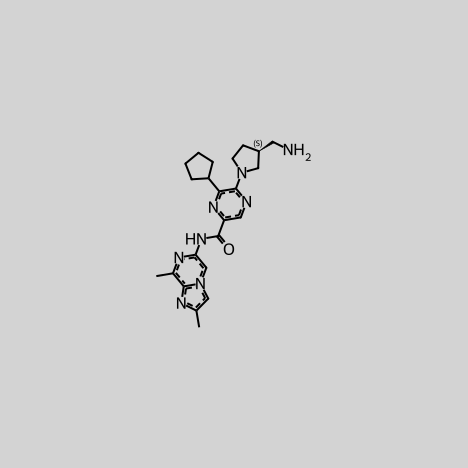 Cc1cn2cc(NC(=O)c3cnc(N4CC[C@@H](CN)C4)c(C4CCCC4)n3)nc(C)c2n1